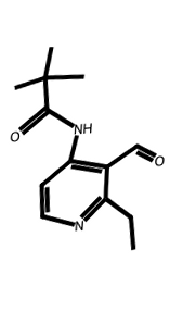 CCc1nccc(NC(=O)C(C)(C)C)c1C=O